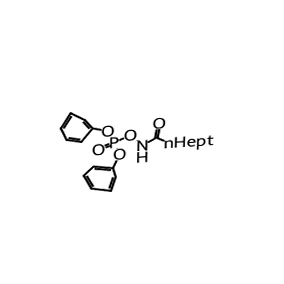 CCCCCCCC(=O)NOP(=O)(Oc1ccccc1)Oc1ccccc1